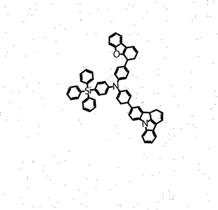 C1=Cc2c(oc3ccccc23)C(c2ccc(N(C3=CCC(c4ccc5c(c4)C4CC=Cc6c4n-5c4ccccc64)C=C3)c3ccc([Si](c4ccccc4)(c4ccccc4)c4ccccc4)cc3)cc2)C1